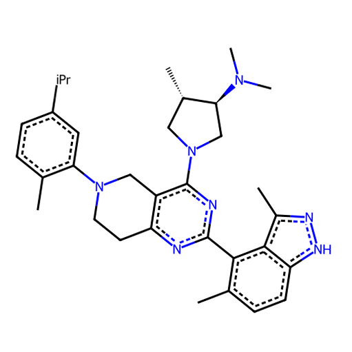 Cc1ccc(C(C)C)cc1N1CCc2nc(-c3c(C)ccc4[nH]nc(C)c34)nc(N3C[C@H](C)[C@@H](N(C)C)C3)c2C1